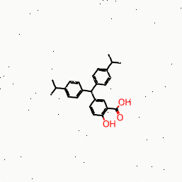 CC(C)c1ccc(C(c2ccc(C(C)C)cc2)c2ccc(O)c(C(=O)O)c2)cc1